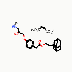 CC(C)NCC(O)COc1ccc(CC(=O)OCCC23CC4CC(CC(C4)C2)C3)cc1.O=C(O)/C=C\C(=O)O